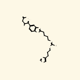 CC1CC(=O)NN=C1c1ccc2[nH]c(CCCCN=C(N)NCCCc3c[nH]cn3)nc2c1